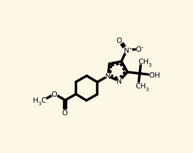 COC(=O)C1CCC(n2cc([N+](=O)[O-])c(C(C)(C)O)n2)CC1